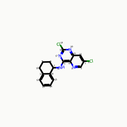 Clc1cnc2c(NC3CCCc4ccccc43)nc(Cl)nc2c1